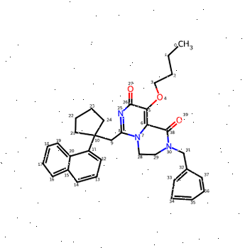 CCCCOc1c2n(c(CC3(c4cccc5ccccc45)CCCC3)nc1=O)CCN(Cc1ccccc1)C2=O